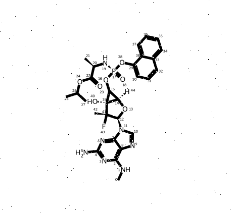 CNc1nc(N)nc2c1ncn2[C@@H]1O[C@@H]2C(O[P@@](=O)(N[C@H](C)C(=O)OC(C)C)Oc3cccc4ccccc34)[C@]2(O)[C@@]1(C)F